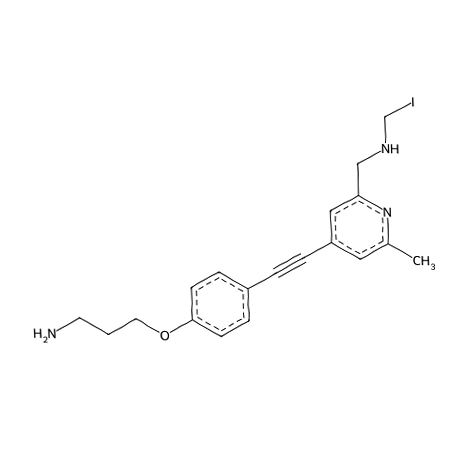 Cc1cc(C#Cc2ccc(OCCCN)cc2)cc(CNCI)n1